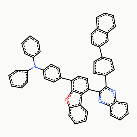 c1ccc(N(c2ccccc2)c2ccc(-c3ccc(-c4nc5ccccc5nc4-c4ccc(-c5ccc6ccccc6c5)cc4)c4c3oc3ccccc34)cc2)cc1